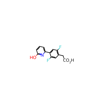 O=C(O)Cc1cc(F)c(-c2cccc(O)n2)cc1F